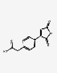 O=C(O)Cc1ccc(C2=CC(=O)NC2=O)cc1